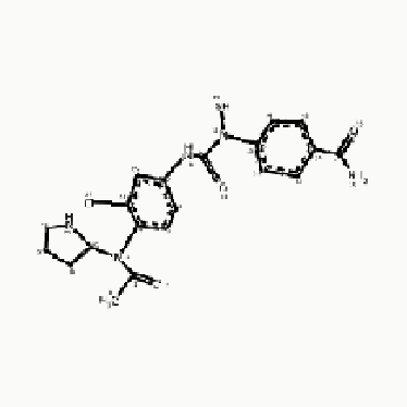 CC(=O)N(c1ccc(NC(=O)N(S)c2ccc(C(N)=O)cc2)cc1Cl)C1CCCN1